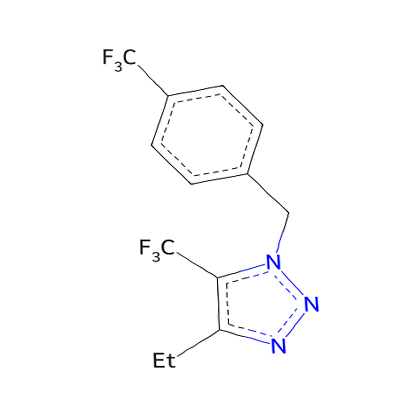 CCc1nnn(Cc2ccc(C(F)(F)F)cc2)c1C(F)(F)F